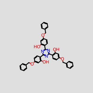 Oc1cc(OCc2ccccc2)ccc1-c1nc(-c2ccc(OCc3ccccc3)cc2O)nc(-c2ccc(OCc3ccccc3)cc2O)n1